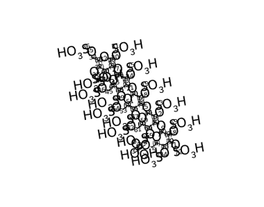 O=P(O)(O)OC[C@H]1O[C@H](O[C@@H]2[C@H](OS(=O)(=O)O)[C@@H](O[C@@H]3[C@H](OS(=O)(=O)O)[C@@H](O[C@@H]4[C@H](OS(=O)(=O)O)[C@@H](O[C@@H]5[C@@H](OS(=O)(=O)O)O[C@H](COS(=O)(=O)O)[C@@H](OS(=O)(=O)O)[C@@H]5OS(=O)(=O)O)O[C@H](COS(=O)(=O)O)[C@H]4OS(=O)(=O)O)O[C@H](COS(=O)(=O)O)[C@H]3OS(=O)(=O)O)O[C@H](COS(=O)(=O)O)[C@H]2OS(=O)(=O)O)[C@@H](OS(=O)(=O)O)[C@@H](OS(=O)(=O)O)[C@@H]1OS(=O)(=O)O